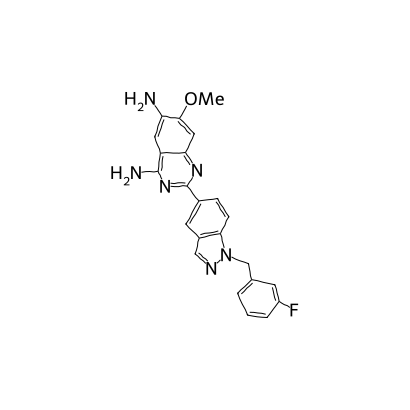 COc1cc2nc(-c3ccc4c(cnn4Cc4cccc(F)c4)c3)nc(N)c2cc1N